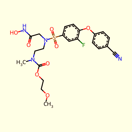 COCCOC(=O)N(C)CCN(CC(=O)NO)S(=O)(=O)c1ccc(Oc2ccc(C#N)cc2)c(F)c1